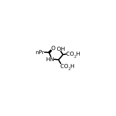 CCCC(=O)NC(C(=O)O)C(O)C(=O)O